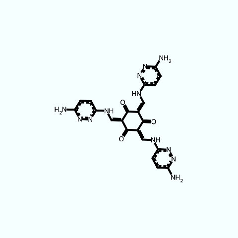 Nc1ccc(NC=C2C(=O)C(=CNc3ccc(N)nn3)C(=O)C(=CNc3ccc(N)nn3)C2=O)nn1